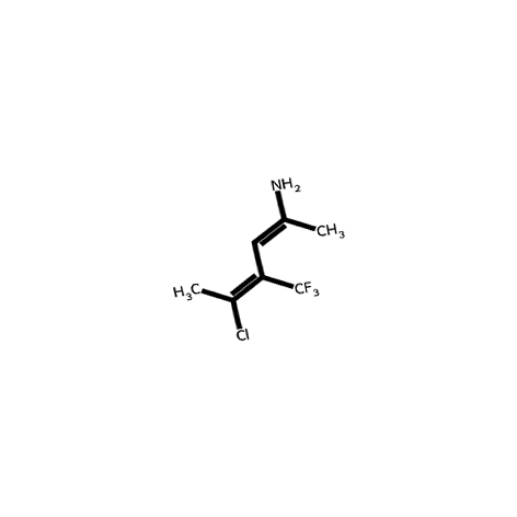 C/C(Cl)=C(\C=C(/C)N)C(F)(F)F